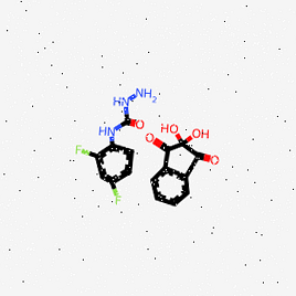 NNC(=O)Nc1ccc(F)cc1F.O=C1c2ccccc2C(=O)C1(O)O